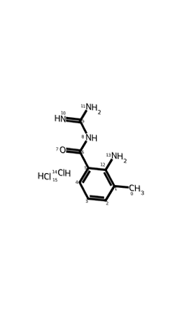 Cc1cccc(C(=O)NC(=N)N)c1N.Cl.Cl